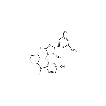 CCN(c1ncc(O)cc1CN1C(=O)O[C@H](c2cc(C)cc(C(F)(F)F)c2)[C@@H]1C)C1CCCCC1